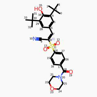 CC(C)(C)c1cc(/C=C(\C#N)S(=O)(=O)c2ccc(C(=O)N3CCOCC3)cc2)cc(C(C)(C)C)c1O